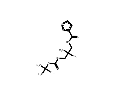 CC(C)(CNC(=O)OC(C)(C)C)CNC(=O)c1ccon1